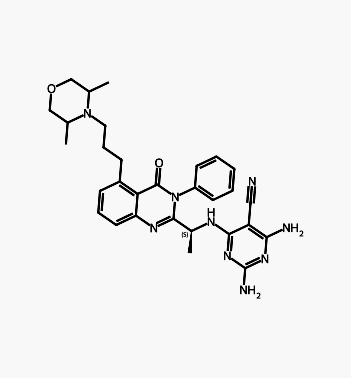 CC1COCC(C)N1CCCc1cccc2nc([C@H](C)Nc3nc(N)nc(N)c3C#N)n(-c3ccccc3)c(=O)c12